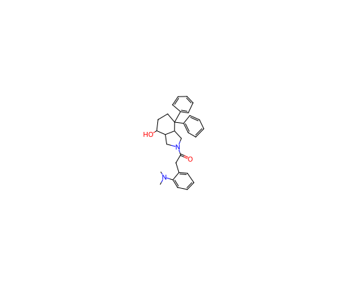 CN(C)c1ccccc1CC(=O)N1CC2C(O)CCC(c3ccccc3)(c3ccccc3)C2C1